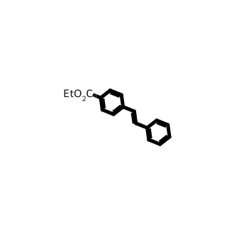 CCOC(=O)c1ccc(/C=C/c2ccccc2)cc1